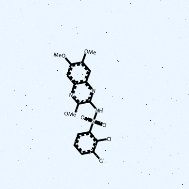 COc1cc2nc(NS(=O)(=O)c3cccc(Cl)c3Cl)c(OC)nc2cc1OC